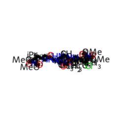 C=C(C)C(=O)NC(C)(C)CN(CCNC(=O)c1ccc(CCC(c2cc(C(=O)OC)nc(C(=O)OC)c2)C(C)C)cc1)CCNC(C)(C)CCNC(=O)c1ccc(CC(C)(C)CC(c2cc(C(=O)OC)nc(C(=O)OC)c2)C(C)(C)Cl)cc1